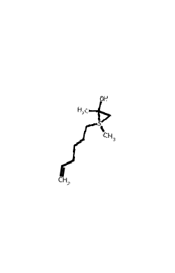 C=CCCCCS1(C)CC1(C)O